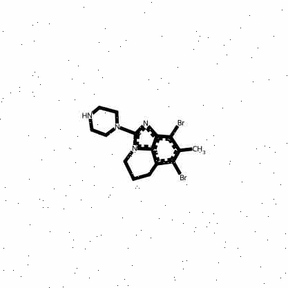 Cc1c(Br)c2c3c(nc(N4CCNCC4)n3CCC2)c1Br